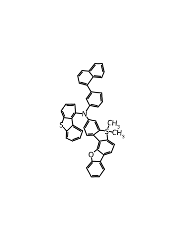 CS1(C)c2cc(N(c3cccc(-c4cccc5ccccc45)c3)c3cccc4sc5ccccc5c34)ccc2-c2c1ccc1c2oc2ccccc21